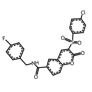 O=C(NCc1ccc(F)cc1)c1ccc2oc(=O)c(S(=O)(=O)c3ccc(Cl)cc3)cc2c1